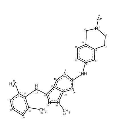 CC(=O)N1CCc2cc(Nc3ncc4c(Nc5c(C)cccc5C)nn(C)c4n3)ccc2C1